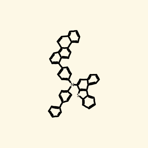 c1ccc(-c2ccc(N(c3ccc(-c4cccc5c4ccc4c6ccccc6ccc54)cc3)c3cc4ccccc4c4c3sc3ccccc34)cc2)cc1